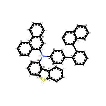 c1ccc(-c2cccc3ccccc23)c(-c2ccc(N(c3cc4ccccc4c4ccccc34)c3cccc4sc5ccccc5c34)cc2)c1